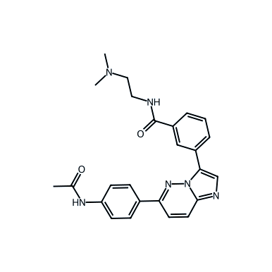 CC(=O)Nc1ccc(-c2ccc3ncc(-c4cccc(C(=O)NCCN(C)C)c4)n3n2)cc1